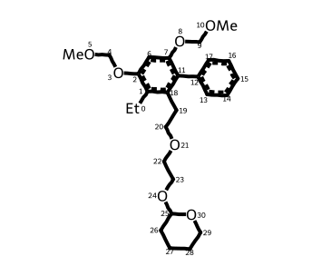 CCc1c(OCOC)cc(OCOC)c(-c2ccccc2)c1CCOCCOC1CCCCO1